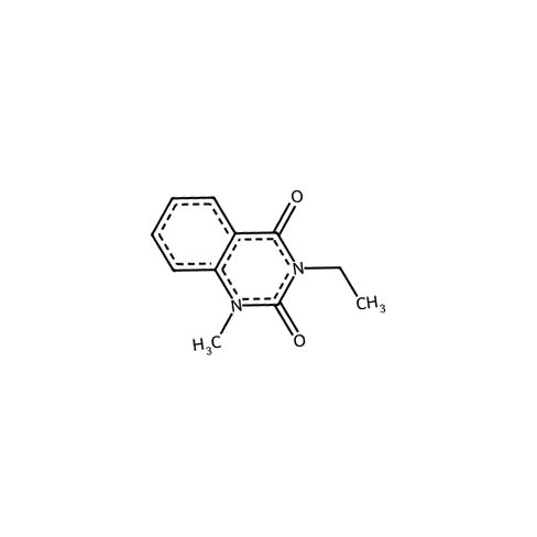 CCn1c(=O)c2ccccc2n(C)c1=O